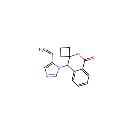 C=Cc1cncn1C1c2ccccc2C(=O)OC12CCC2